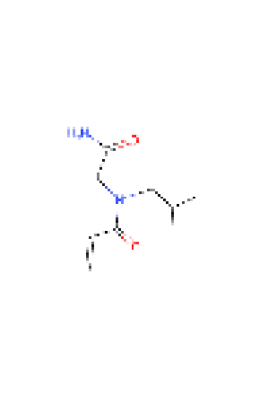 C=CC(=O)N(CC(N)=O)CC(C)C